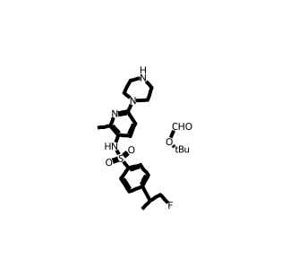 CC(C)(C)OC=O.Cc1nc(N2CCNCC2)ccc1NS(=O)(=O)c1ccc(C(C)CF)cc1